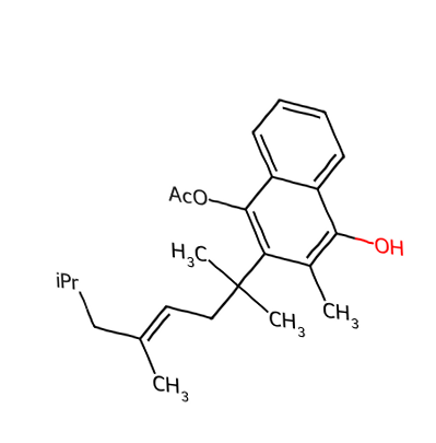 CC(=O)Oc1c(C(C)(C)C/C=C(\C)CC(C)C)c(C)c(O)c2ccccc12